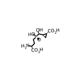 N[C@@H](CCP(=O)(O)[C@@H](O)[C@@H]1C[C@H]1C(=O)O)C(=O)O